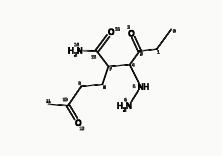 CCC(=O)C(NN)C(CCC(C)=O)C(N)=O